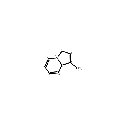 CC1=CCN2C=CC=CC12